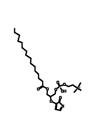 CCCCCCCCCCCCCCCC(=O)OCC(COP(=O)(O)OCC[N+](C)(C)C)OC1=CC=NC1=O